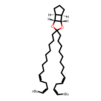 CCCC/C=C\C/C=C\CCCCCCCCC1(CCCCCCCC/C=C\C/C=C\CCCC)O[C@@H]2[C@H]3CCC[C@H]3[C@@H]2O1